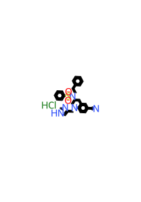 Cl.N#Cc1ccc2c(c1)CC(N(CCc1ccccc1)S(=O)(=O)c1ccccc1)CN2Cc1c[nH]cn1